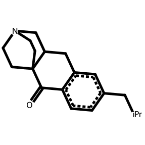 CC(C)Cc1ccc2c(c1)CC1CN3CCC1(CC3)C2=O